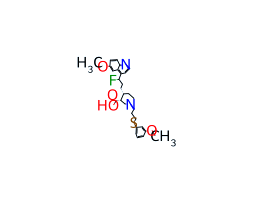 COc1cccc(SCCCN2CC[C@@H](CCC(F)c3ccnc4ccc(OC)cc34)[C@@H](C(=O)O)C2)c1